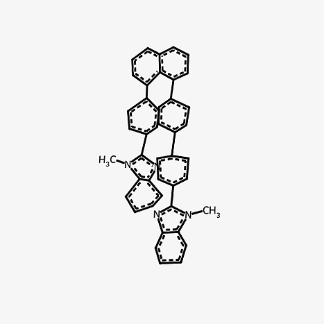 Cn1c(-c2ccc(-c3ccc(-c4cccc5cccc(-c6ccc(-c7nc8ccccc8n7C)cc6)c45)cc3)cc2)nc2ccccc21